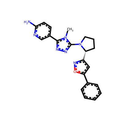 Cn1c(-c2ccc(N)nc2)nnc1N1CCC[C@@H]1c1cc(-c2ccccc2)on1